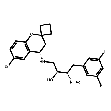 CC(=O)N[C@@H](Cc1cc(F)cc(F)c1)[C@@H](O)CN[C@H]1CC2(CCC2)Oc2ccc(Br)cc21